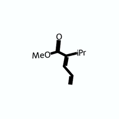 C=CC=C(C(=O)OC)C(C)C